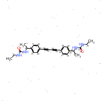 CCNC(=O)NC(C)c1ccc(C#CC#Cc2ccc(C(C)NC(=O)NCC)cc2)cc1